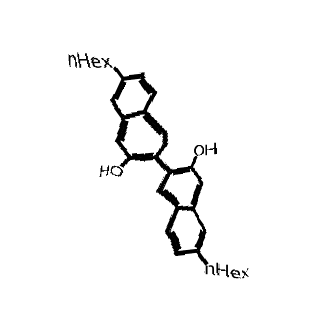 CCCCCCc1ccc2cc(-c3cc4ccc(CCCCCC)cc4cc3O)c(O)cc2c1